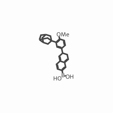 COc1ccc(C2C=c3ccc(B(O)O)cc3=CC2)cc1C12CC3CC(C1)C(C3)C2